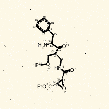 CCOC(=O)[C@H]1O[C@@H]1C(=O)NC[C@@H](COC(C)C)C(=O)[C@@H](N)Cc1ccccc1